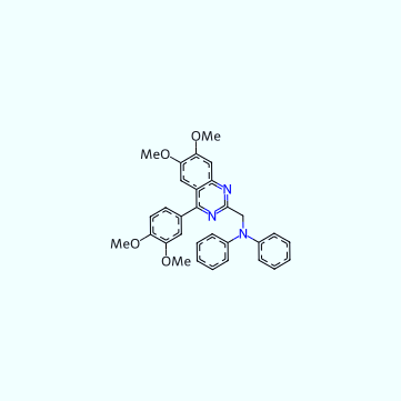 COc1ccc(-c2nc(CN(c3ccccc3)c3ccccc3)nc3cc(OC)c(OC)cc23)cc1OC